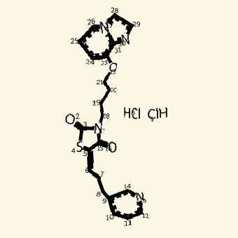 Cl.Cl.O=C1S/C(=C/CCc2cccnc2)C(=O)N1CCCCOc1cccn2ccnc12